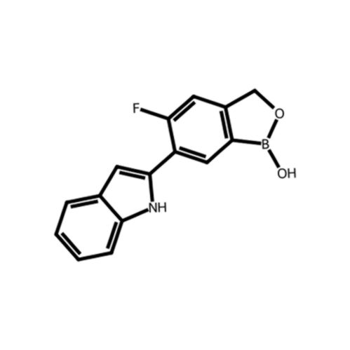 OB1OCc2cc(F)c(-c3cc4ccccc4[nH]3)cc21